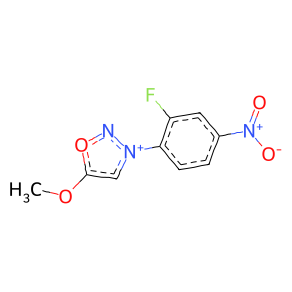 COc1c[n+](-c2ccc([N+](=O)[O-])cc2F)no1